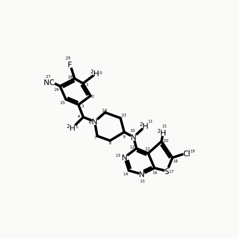 [2H]c1cc(C([2H])N2CCC(N([2H])c3ncnc4sc(Cl)c([2H])c34)CC2)cc(C#N)c1F